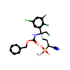 CS(=O)(=O)C(C#N)CC[C@](CF)(NC(=O)OCc1ccccc1)c1cc(Br)cc(F)c1F